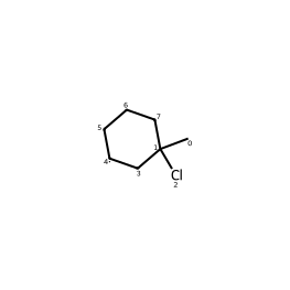 CC1(Cl)C[CH]CCC1